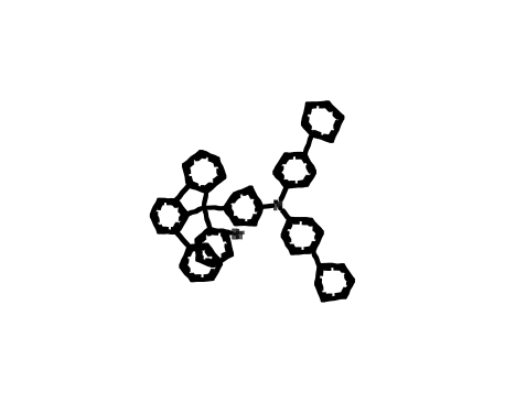 Brc1ccccc1C1(c2ccc(N(c3ccc(-c4ccccc4)cc3)c3ccc(-c4ccccc4)cc3)cc2)c2ccccc2-c2cccc(-c3ccccc3)c21